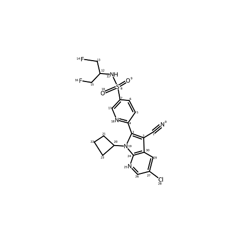 N#Cc1c(-c2ccc(S(=O)(=O)NC(CF)CF)cn2)n(C2CCC2)c2ncc(Cl)cc12